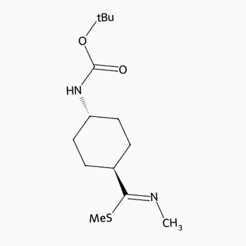 CN=C(SC)[C@H]1CC[C@H](NC(=O)OC(C)(C)C)CC1